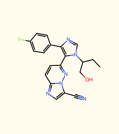 CCC(CO)n1cnc(-c2ccc(F)cc2)c1-c1ccc2ncc(C#N)n2n1